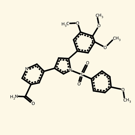 COc1ccc(S(=O)(=O)n2cc(-c3cncc(C(N)=O)c3)cc2-c2cc(OC)c(OC)c(OC)c2)cc1